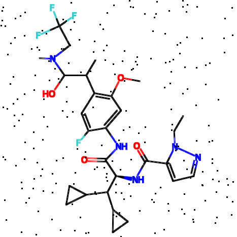 CCn1nccc1C(=O)N[C@H](C(=O)Nc1cc(OC)c(C(C)C(O)N(C)CC(F)(F)F)cc1F)C(C1CC1)C1CC1